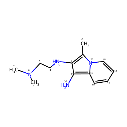 Cc1c(NCCN(C)C)c(N)c2ccccn12